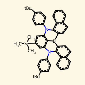 CC(C)(C)c1ccc(N2c3cc([Si](C)(C)C)cc4c3B(c3ccc5ccccc5c32)c2ccc3ccccc3c2N4c2ccc(C(C)(C)C)cc2)cc1